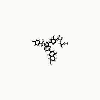 Cc1ccc(S(=O)(=O)n2cc(-c3ccc(C(=O)N(C)C[C@H](C)O)c(C)c3)c3nc(-c4cc(C)c5c(c4)CN(C)CC5)cnc32)cc1